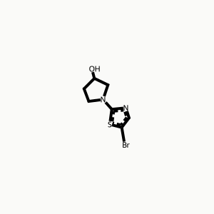 OC1CCN(c2ncc(Br)s2)C1